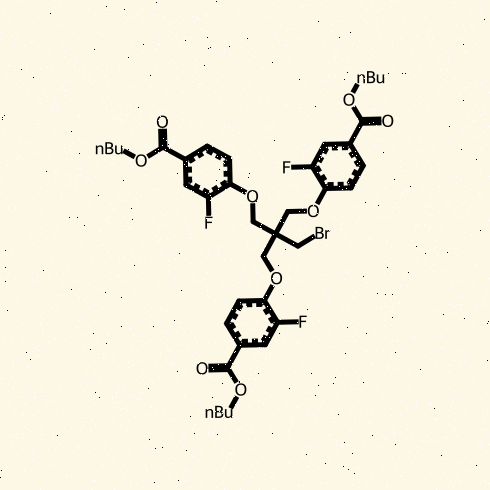 CCCCOC(=O)c1ccc(OCC(CBr)(COc2ccc(C(=O)OCCCC)cc2F)COc2ccc(C(=O)OCCCC)cc2F)c(F)c1